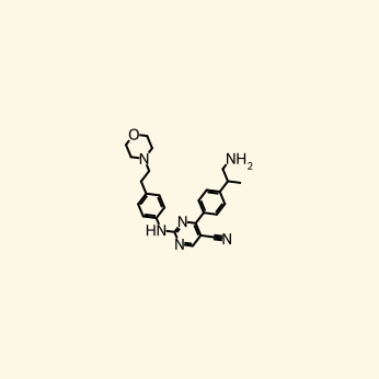 CC(CN)c1ccc(-c2nc(Nc3ccc(CCN4CCOCC4)cc3)ncc2C#N)cc1